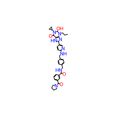 CCCN1c2nc(-c3ccc(NCc4ccc(CNC(=O)c5cccc(C(=O)N6CCCC6)c5)cc4)nc3)[nH]c2C(=O)N(C2CC2)C1O